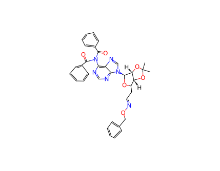 CC1(C)O[C@@H]2[C@H](O1)[C@@H](CC=NOCc1ccccc1)O[C@H]2n1cnc2c(N(C(=O)c3ccccc3)C(=O)c3ccccc3)ncnc21